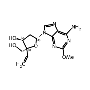 C=C[C@]1(CO)O[C@@H](n2cnc3c(N)nc(OC)nc32)C[C@@H]1O